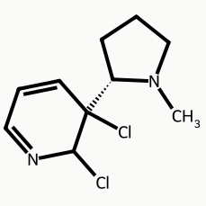 CN1CCC[C@H]1C1(Cl)C=CC=NC1Cl